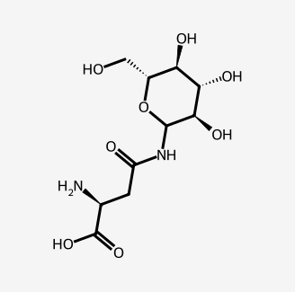 N[C@@H](CC(=O)NC1O[C@H](CO)[C@@H](O)[C@H](O)[C@H]1O)C(=O)O